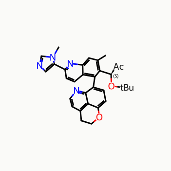 CC(=O)[C@@H](OC(C)(C)C)c1c(C)cc2nc(-c3cncn3C)ccc2c1-c1ccc2c3c(ccnc13)CCO2